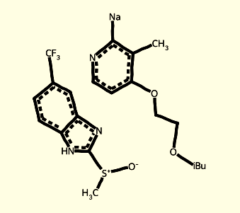 CCC(C)OCCOc1ccn[c]([Na])c1C.C[S+]([O-])c1nc2cc(C(F)(F)F)ccc2[nH]1